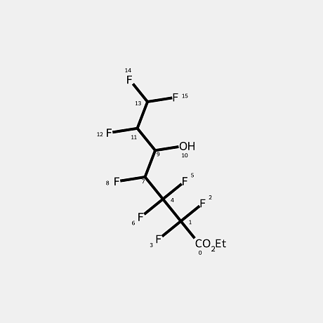 CCOC(=O)C(F)(F)C(F)(F)C(F)C(O)C(F)C(F)F